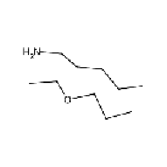 CCCCCN.CCCOCC